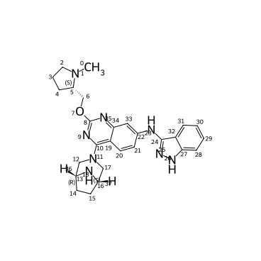 CN1CCC[C@H]1COc1nc(N2C[C@H]3CC[C@@H](C2)N3)c2ccc(Nc3n[nH]c4ccccc34)cc2n1